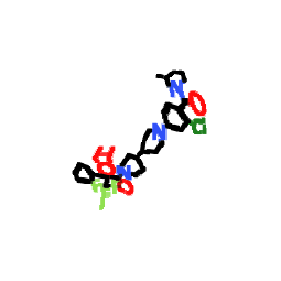 CC1CCCN(C(=O)c2ccc(N3CCC(C4CCN(C(=O)C(O)(c5ccccc5)C(F)(F)F)CC4)CC3)cc2Cl)C1